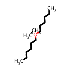 CC.CCCCCCOCCCCCC